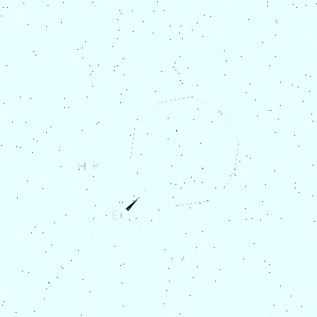 B[C@@H]1CCCCCCCC[C@H]1CC